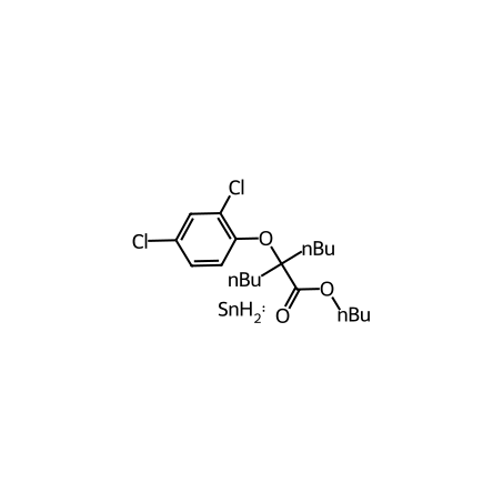 CCCCOC(=O)C(CCCC)(CCCC)Oc1ccc(Cl)cc1Cl.[SnH2]